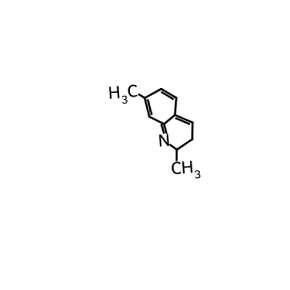 Cc1ccc2c(c1)=NC(C)CC=2